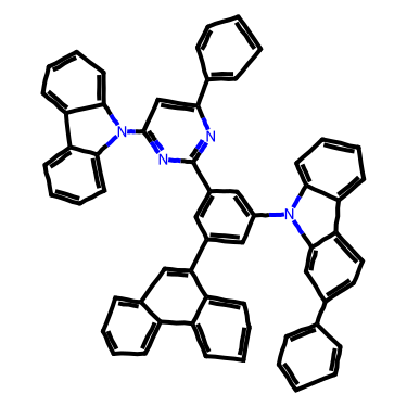 c1ccc(-c2ccc3c4ccccc4n(-c4cc(-c5nc(-c6ccccc6)cc(-n6c7ccccc7c7ccccc76)n5)cc(-c5cc6ccccc6c6ccccc56)c4)c3c2)cc1